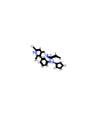 CCc1nc2c(-c3c(C)cc(C)nc3C)cccc2n1C1CCCC1